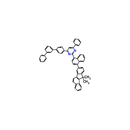 CC1(C)c2ccc(-c3ccc(-c4nc(-c5ccccc5)cc(-c5ccc(-c6cccc(-c7ccccc7)c6)cc5)n4)c4ccccc34)cc2-c2ccc3ccccc3c21